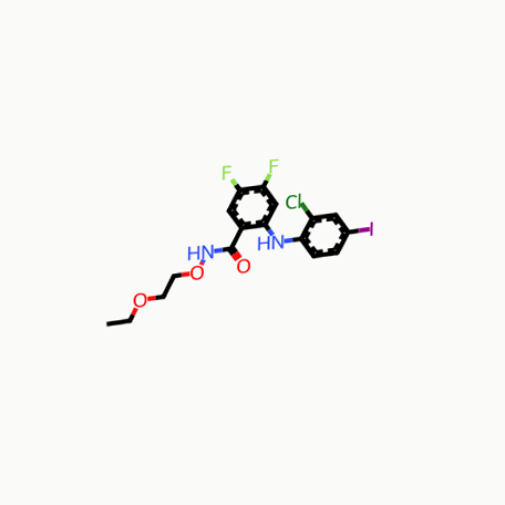 CCOCCONC(=O)c1cc(F)c(F)cc1Nc1ccc(I)cc1Cl